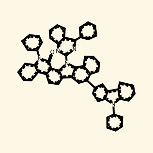 O=c1c2c(ccc3c4cc(-c5ccc6c(c5)c5ccccc5n6-c5ccccc5)c5ccccc5c4n(-c4nc(-c5ccccc5)c5ccccc5n4)c32)c2ccccc2n1-c1ccccc1